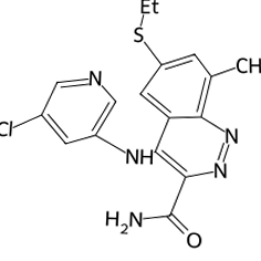 CCSc1cc(C)c2nnc(C(N)=O)c(Nc3cncc(Cl)c3)c2c1